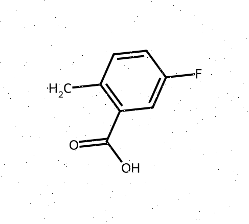 [CH2]c1ccc(F)cc1C(=O)O